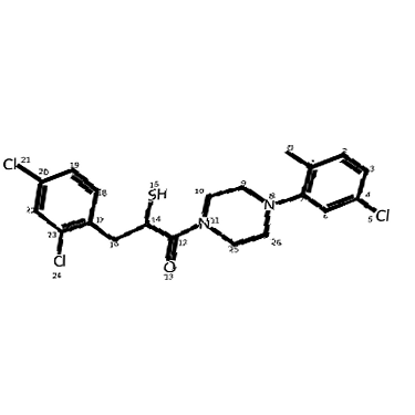 Cc1ccc(Cl)cc1N1CCN(C(=O)C(S)Cc2ccc(Cl)cc2Cl)CC1